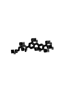 CCCP(=O)(O)CC(F)c1cc(C)c(Cc2ccc(O)c(C(C)C)c2)c(C)c1